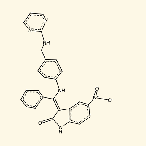 O=C1Nc2ccc([N+](=O)[O-])cc2C1=C(Nc1ccc(CNc2ncccn2)cc1)c1ccccc1